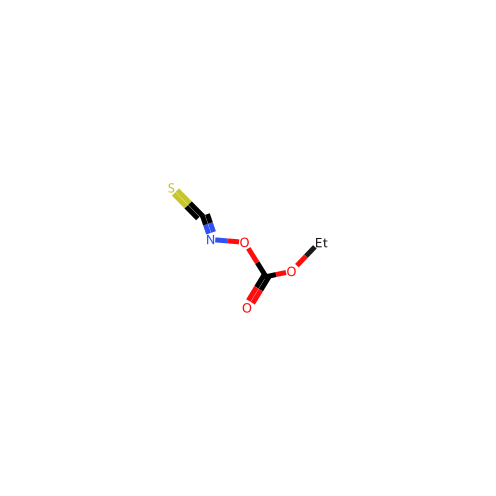 CCOC(=O)ON=C=S